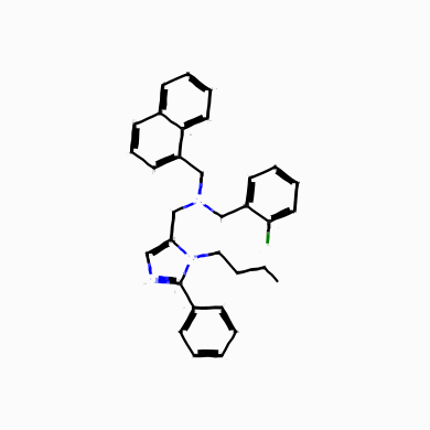 CCCCn1c(CN(Cc2ccccc2Cl)Cc2cccc3ccccc23)cnc1-c1ccccc1